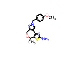 COc1ccc(Cn2cc3c(n2)COC(C)c2sc(N)nc2-3)cc1